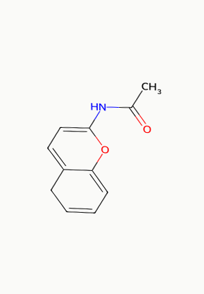 CC(=O)NC1=CC=C2CC=CC=C2O1